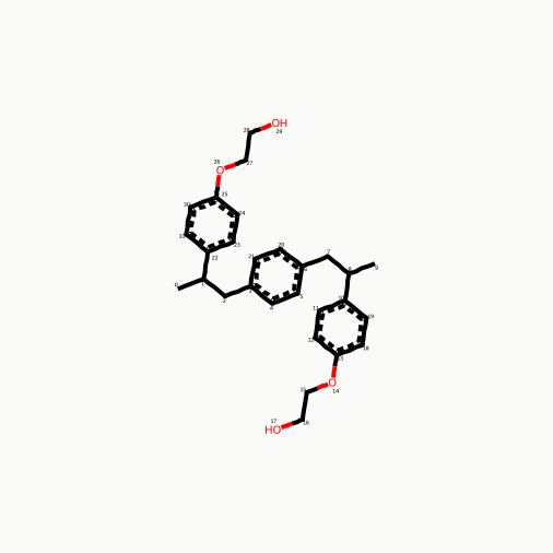 CC(Cc1ccc(CC(C)c2ccc(OCCO)cc2)cc1)c1ccc(OCCO)cc1